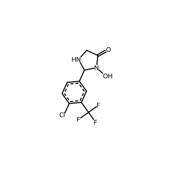 O=C1CNC(c2ccc(Cl)c(C(F)(F)F)c2)N1O